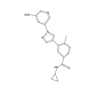 Cc1ccc(C(=O)NC2CC2)cc1-c1cnn(-c2cncc(C=O)c2)c1